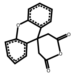 O=C1CC2(CC(=O)O1)c1ccccc1Oc1ccccc12